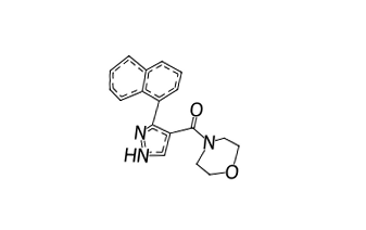 O=C(c1c[nH]nc1-c1cccc2ccccc12)N1CCOCC1